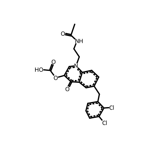 CC(=O)NCCn1cc(OC(=O)O)c(=O)c2cc(Cc3cccc(Cl)c3Cl)ccc21